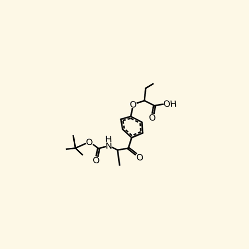 CCC(Oc1ccc(C(=O)C(C)NC(=O)OC(C)(C)C)cc1)C(=O)O